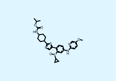 COc1ccc(Nc2ccc(-c3cnc(C4CCC(NC(=O)OC(C)C)CC4)s3)c([S+]([O-])C3CC3)c2)nc1